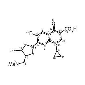 CNC[C@@H]1CN(c2nc3c(cc2F)c(=O)c(C(=O)O)cn3C2CC2)C[C@@H]1F